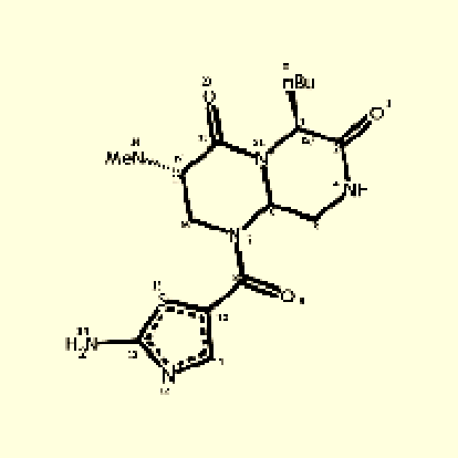 CCCC[C@H]1C(=O)NCC2N(C(=O)c3cnc(N)s3)C[C@H](NC)C(=O)N21